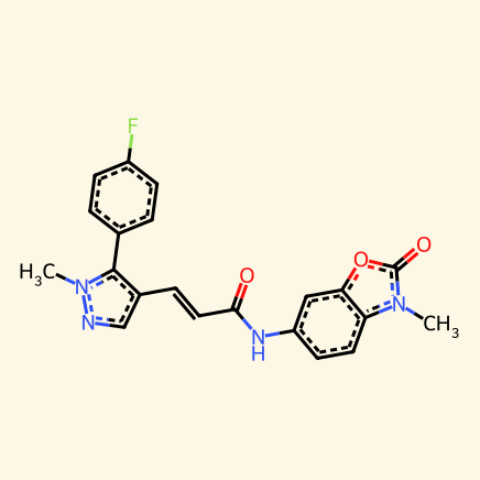 Cn1ncc(C=CC(=O)Nc2ccc3c(c2)oc(=O)n3C)c1-c1ccc(F)cc1